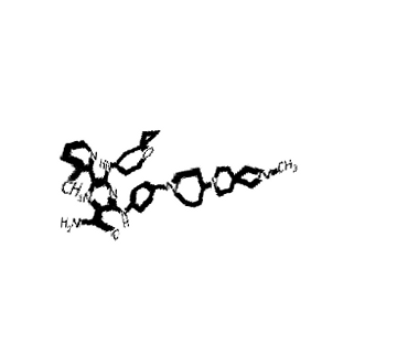 Cc1cccnc1-c1nc(C(N)=O)c(Nc2ccc(N3CCC(N4CCC5(CC4)CN(C)C5)CC3)cc2)nc1NC1CCOC2(CC2)C1